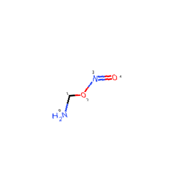 NCON=O